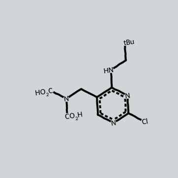 CC(C)(C)CNc1nc(Cl)ncc1CN(C(=O)O)C(=O)O